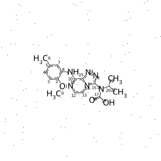 COc1ccc(C)cc1Nc1nccn2c(N(C(=O)O)C(C)C)nnc12